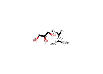 C=C(C)C(=O)O.COCOC.OCC(O)CO